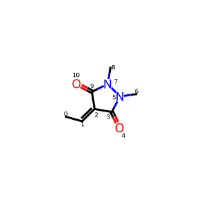 CC=C1C(=O)N(C)N(C)C1=O